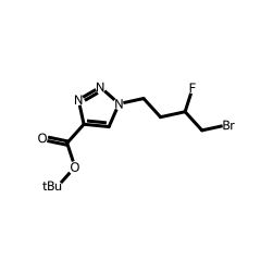 CC(C)(C)OC(=O)c1cn(CCC(F)CBr)nn1